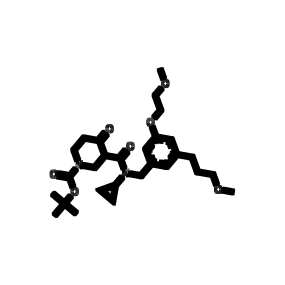 COCCCc1cc(CN(C(=O)C2CN(C(=O)OC(C)(C)C)CCC2=O)C2CC2)cc(OCCOC)c1